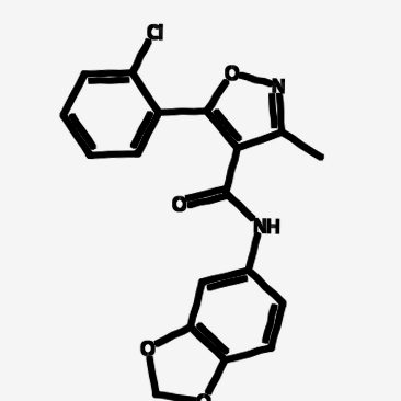 Cc1noc(-c2ccccc2Cl)c1C(=O)Nc1ccc2c(c1)OCO2